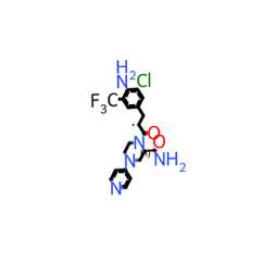 NC(=O)[C@H]1CN(c2ccncc2)CCN1C(=O)[CH]Cc1cc(Cl)c(N)c(C(F)(F)F)c1